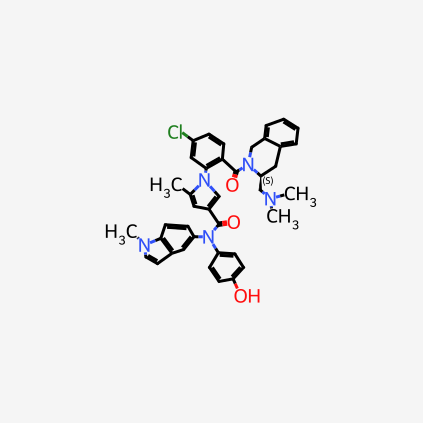 Cc1cc(C(=O)N(c2ccc(O)cc2)c2ccc3c(ccn3C)c2)cn1-c1cc(Cl)ccc1C(=O)N1Cc2ccccc2C[C@H]1CN(C)C